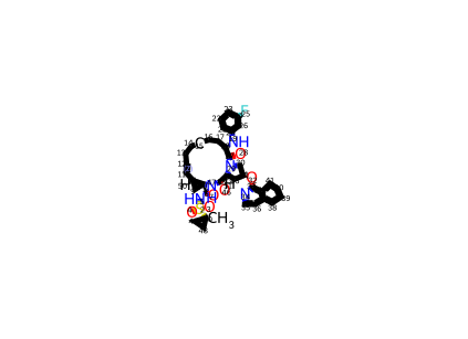 CC1(S(=O)(=O)NC(=O)[C@@]23C[C@H]2/C=C\CCCCC[C@H](Nc2cccc(F)c2)C(=O)N2C[C@H](Oc4nccc5ccccc45)C[C@H]2C(=O)N3)CC1